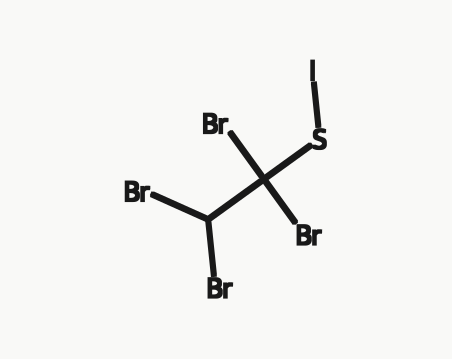 BrC(Br)C(Br)(Br)SI